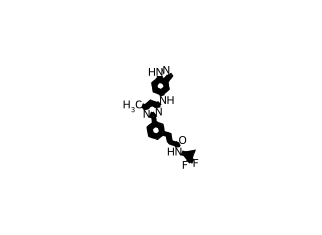 Cc1cc(Nc2ccc3[nH]ncc3c2)nc(-c2cccc(/C=C/C(=O)NC3CC3(F)F)c2)n1